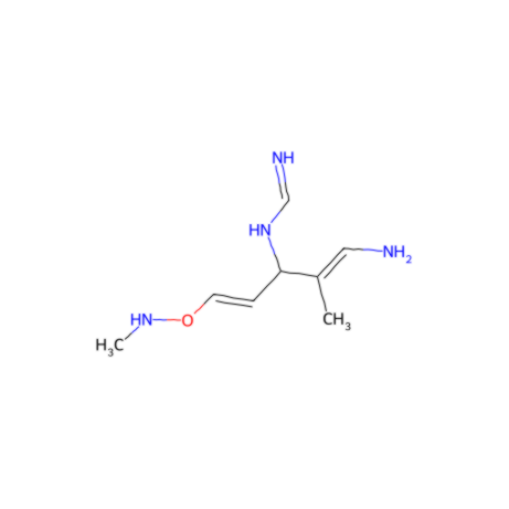 CNO/C=C/C(NC=N)/C(C)=C/N